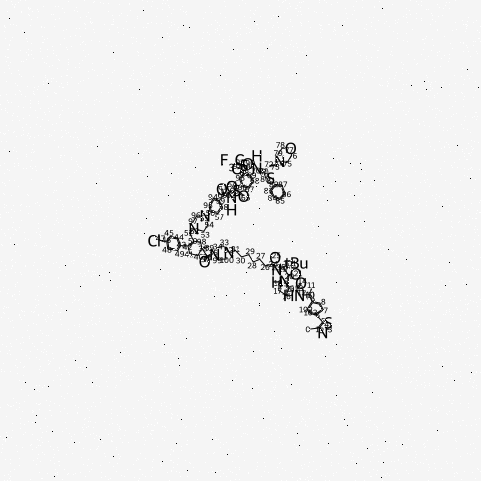 Cc1ncsc1-c1ccc([C@H](C)NC(=O)[C@@H]2CCCN2C(=O)[C@@H](NC(=O)CCCCCCN2CCN(C(=O)C3(C)CCC(c4ccc(Cl)cc4)=C(CN4CCN(c5ccc(C(=O)NS(=O)(=O)c6ccc(N[C@H](CCN7CCOCC7)CSc7ccccc7)c(S(=O)(=O)C(F)(F)F)c6)cc5)CC4)C3)CC2)C(C)(C)C)cc1